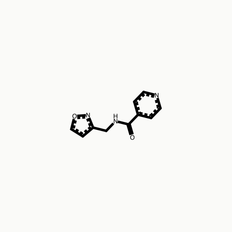 O=C(NCc1ccon1)c1ccncc1